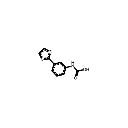 O=C(O)Nc1cccc(-c2nccs2)c1